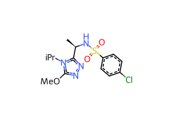 COc1nnc([C@@H](C)NS(=O)(=O)c2ccc(Cl)cc2)n1C(C)C